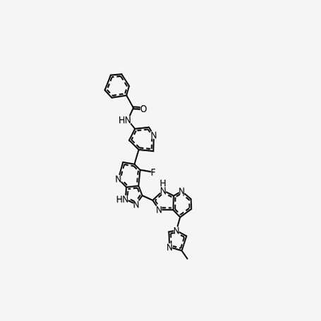 Cc1cn(-c2ccnc3[nH]c(-c4n[nH]c5ncc(-c6cncc(NC(=O)c7ccccc7)c6)c(F)c45)nc23)cn1